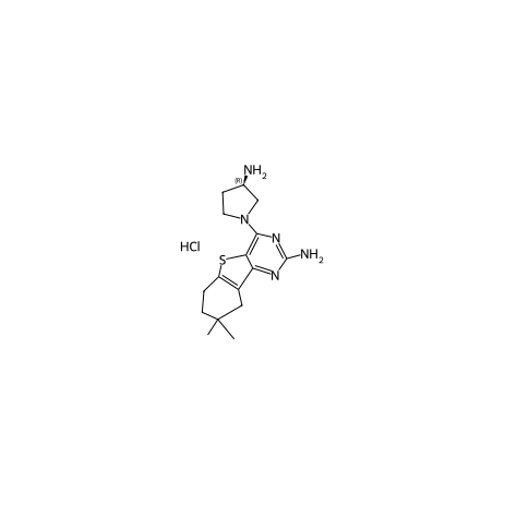 CC1(C)CCc2sc3c(N4CC[C@@H](N)C4)nc(N)nc3c2C1.Cl